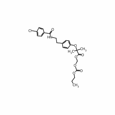 CCCOC(=O)OCOC(=O)C(C)(C)Oc1ccc(CCNC(=O)c2ccc(Cl)cc2)cc1